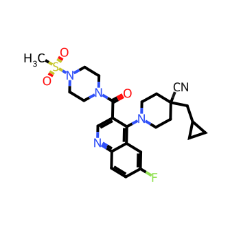 CS(=O)(=O)N1CCN(C(=O)c2cnc3ccc(F)cc3c2N2CCC(C#N)(CC3CC3)CC2)CC1